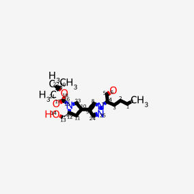 CCCCC(C=O)n1cc(C2C[C@H](CO)N(C(=O)OC(C)(C)C)C2)cn1